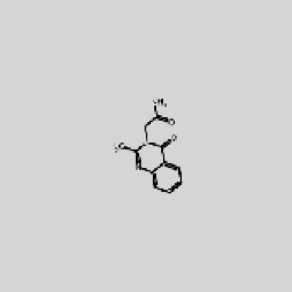 Cc1nc2ccccc2c(=O)n1CC(N)=O